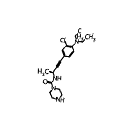 CCN(CC)c1ccc(C#CC(C)NC(=O)N2CCNCC2)cc1Cl